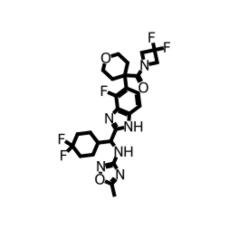 Cc1nc(NC(c2nc3c(F)c(C4(C(=O)N5CC(F)(F)C5)CCOCC4)ccc3[nH]2)C2CCC(F)(F)CC2)no1